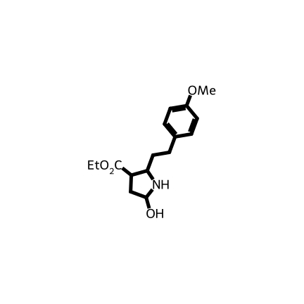 CCOC(=O)C1CC(O)NC1CCc1ccc(OC)cc1